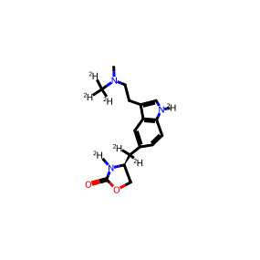 [2H]N1C(=O)OC[C@@H]1C([2H])([2H])c1ccc2c(c1)c(CCN(C)C([2H])([2H])[2H])cn2[2H]